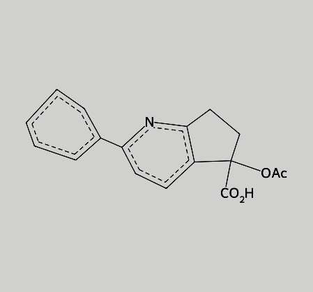 CC(=O)OC1(C(=O)O)CCc2nc(-c3ccccc3)ccc21